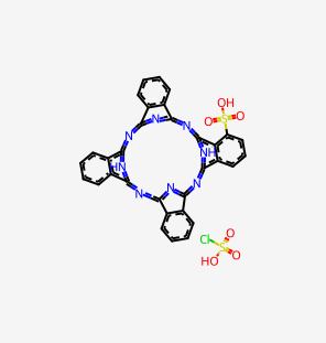 O=S(=O)(O)Cl.O=S(=O)(O)c1cccc2c3nc4nc(nc5[nH]c(nc6nc(nc([nH]3)c12)-c1ccccc1-6)c1ccccc51)-c1ccccc1-4